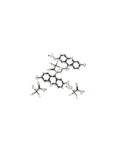 COc1ccc2nc3cc(Cl)ccc3c(NCCN(C(=O)C(F)(F)F)c3c4ccc(Cl)cc4nc4ccc(OC)cc34)c2c1.O=C(O)C(F)(F)F.O=C(O)C(F)(F)F